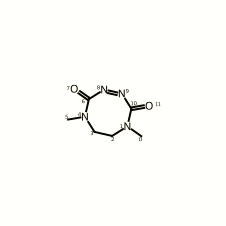 CN1CCN(C)C(=O)N=NC1=O